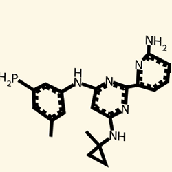 Cc1cc(P)cc(Nc2cc(NC3(C)CC3)nc(-c3cccc(N)n3)n2)c1